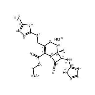 CC(=O)OCOC(=O)C1=C(CSc2nnc(C)s2)CS[C@@H]2C(Nc3ncc[nH]3)C(=O)N12.Cl